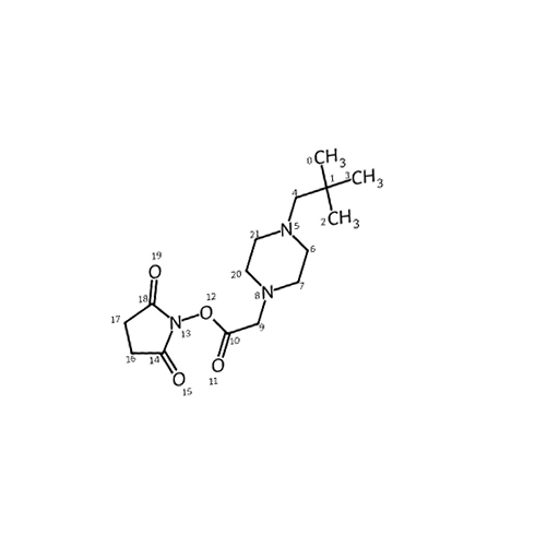 CC(C)(C)CN1CCN(CC(=O)ON2C(=O)CCC2=O)CC1